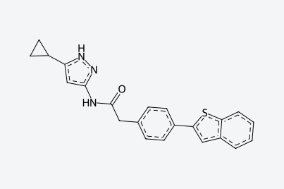 O=C(Cc1ccc(-c2cc3ccccc3s2)cc1)Nc1cc(C2CC2)[nH]n1